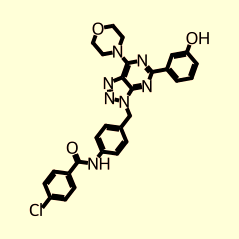 O=C(Nc1ccc(Cn2nnc3c(N4CCOCC4)nc(-c4cccc(O)c4)nc32)cc1)c1ccc(Cl)cc1